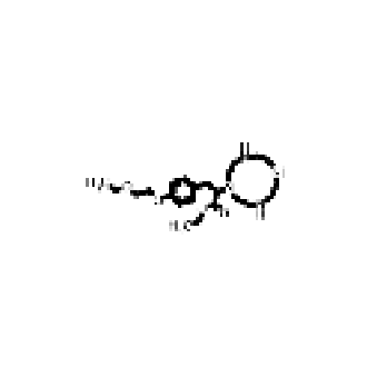 CCOCCOc1ccc(CC(C(=O)OCC)N2CCNCCNCCNCC2)cc1